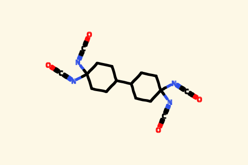 O=C=NC1(N=C=O)CCC(C2CCC(N=C=O)(N=C=O)CC2)CC1